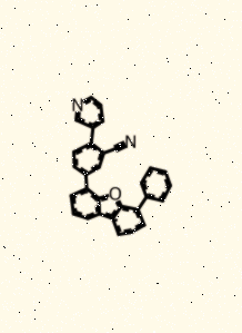 N#Cc1cc(-c2cccc3c2oc2c(-c4ccccc4)cccc23)ccc1-c1cccnc1